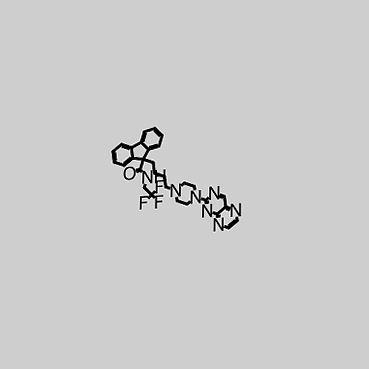 O=C(NCC(F)(F)F)C1(CCCCN2CCN(c3ncc4nccnc4n3)CC2)c2ccccc2-c2ccccc21